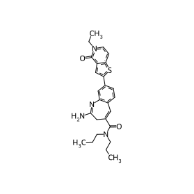 CCCN(CCC)C(=O)C1=Cc2ccc(-c3cc4c(=O)n(CC)ccc4s3)cc2N=C(N)C1